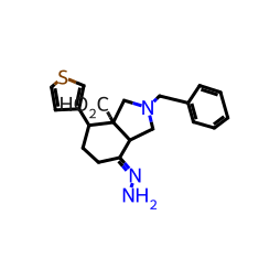 NN=C1CCC(c2ccsc2)C2(C(=O)O)CN(Cc3ccccc3)CC12